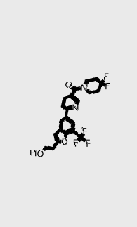 O=C(c1ccc(-c2cc(C(F)(F)F)c3oc(CCO)cc3c2)nc1)N1CCC(F)(F)CC1